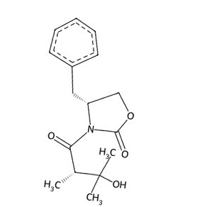 C[C@H](C(=O)N1C(=O)OC[C@H]1Cc1ccccc1)C(C)(C)O